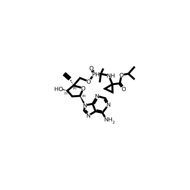 C#C[C@]1(CO[PH](=O)C(C)(C)NC2(C(=O)OC(C)C)CC2)O[C@@H](n2cnc3c(N)ncnc32)C[C@@H]1O